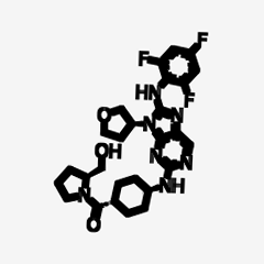 O=C([C@H]1CC[C@H](Nc2ncc3nc(Nc4c(F)cc(F)cc4F)n([C@H]4CCOC4)c3n2)CC1)N1CCC[C@H]1CO